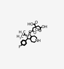 CC(C)N1C(c2ccc(F)cc2)C2=C(CCNCC2)N1OC(=O)CC(O)(CC(=O)O)C(=O)O